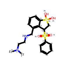 CCN(CC)CCNCc1cccc2c1C(S(=O)(=O)c1ccccc1)CS2(O)O